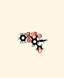 CC#Cc1c(-c2ccoc2)ccc(CS(=O)(=O)c2ccccc2)c1C(=O)O